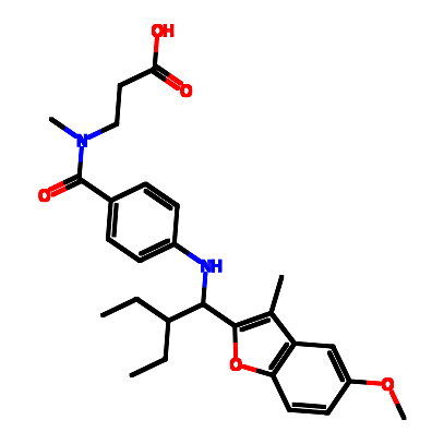 CCC(CC)C(Nc1ccc(C(=O)N(C)CCC(=O)O)cc1)c1oc2ccc(OC)cc2c1C